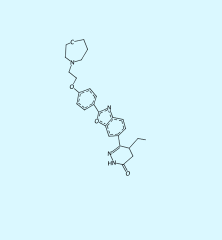 CCC1CC(=O)NN=C1c1ccc2nc(-c3ccc(OCCN4CCCCCC4)cc3)oc2c1